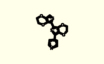 c1cc(-c2sc(-c3scc4c3OCCO4)c3c2OCCO3)ccn1